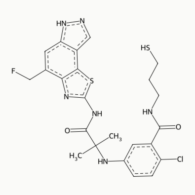 CC(C)(Nc1ccc(Cl)c(C(=O)NCCCS)c1)C(=O)Nc1nc2c(CF)cc3[nH]ncc3c2s1